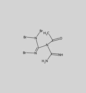 CC(=O)N(C(=N)N)C(=NBr)N(Br)Br